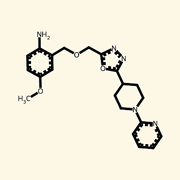 COc1ccc(N)c(COCc2nnc(C3CCN(c4ccccn4)CC3)o2)c1